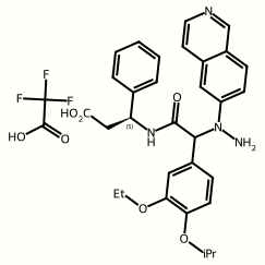 CCOc1cc(C(C(=O)N[C@@H](CC(=O)O)c2ccccc2)N(N)c2ccc3cnccc3c2)ccc1OC(C)C.O=C(O)C(F)(F)F